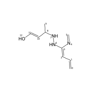 C=C/C=C(\N=C)NNC(C)/C=C/O